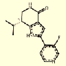 CC(C)[C@@H]1CNC(=O)c2cc(-c3ccncc3F)[nH]c21